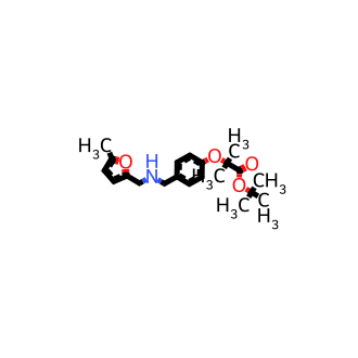 Cc1ccc(CNCc2ccc(OC(C)(C)C(=O)OC(C)(C)C)cc2)o1